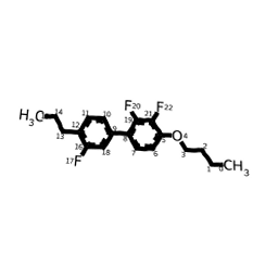 CCCCOc1ccc(-c2ccc(CCC)c(F)c2)c(F)c1F